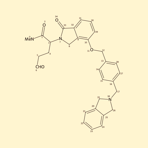 CNC(=O)C(CCC=O)N1Cc2c(OCc3ccc(CN4Cc5ccccc5C4)cc3)cccc2C1=O